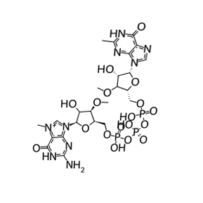 COC1[C@@H](COP(=O)(O)OP(=O)(O)OP(=O)(O)OC[C@H]2O[C@@H](n3c[n+](C)c4c(=O)[nH]c(N)nc43)C(O)[C@H]2OC)O[C@@H](n2cnc3c(=O)[nH]c(C)nc32)[C@H]1O